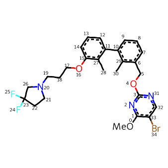 COc1nc(OCc2cccc(-c3cccc(OCCCN4CCC(F)(F)C4)c3C)c2C)ncc1Br